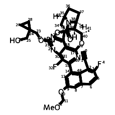 C#Cc1c(F)ccc2cc(OCOC)cc(-c3nc4c5c(nc(OCC6(CO)CC6)nc5c3F)N3C[C@H]5CC[C@@H]([C@H]3[C@H](C)O4)N5C(=O)OC(C)(C)C)c12